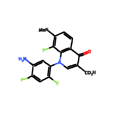 CNc1ccc2c(=O)c(C(=O)O)cn(-c3cc(N)c(F)cc3F)c2c1F